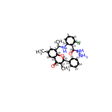 Cc1cc([C@@H](C)Nc2cccc(F)c2C(=O)NN)c2oc(-c3ccccc3)c(C)c(=O)c2c1